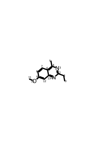 CCc1nc(C)c2ccc(OC)cc2n1